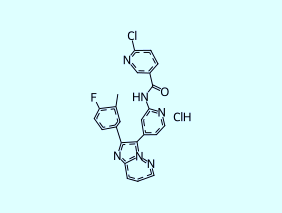 Cc1cc(-c2nc3cccnn3c2-c2ccnc(NC(=O)c3ccc(Cl)nc3)c2)ccc1F.Cl